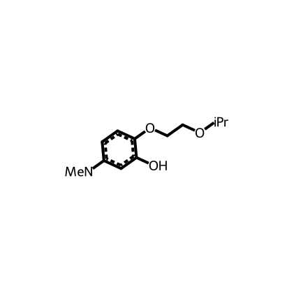 CNc1ccc(OCCOC(C)C)c(O)c1